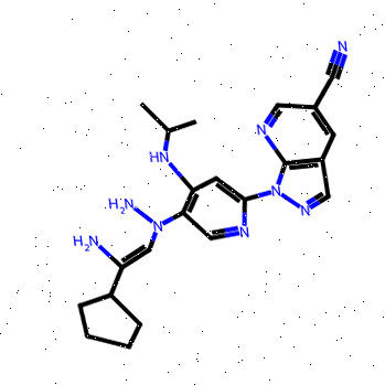 CC(C)Nc1cc(-n2ncc3cc(C#N)cnc32)ncc1N(N)/C=C(\N)C1CCCC1